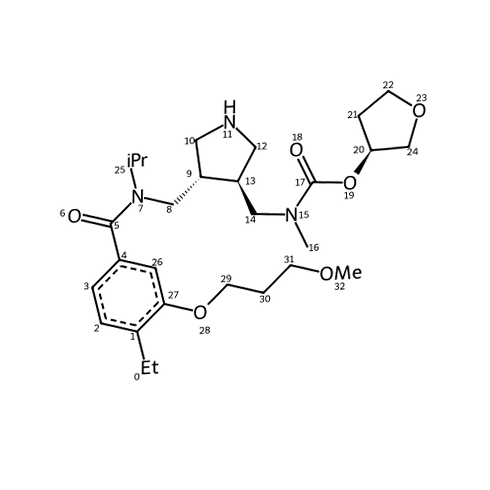 CCc1ccc(C(=O)N(C[C@@H]2CNC[C@H]2CN(C)C(=O)O[C@H]2CCOC2)C(C)C)cc1OCCCOC